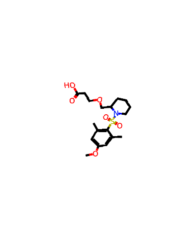 COc1cc(C)c(S(=O)(=O)N2CCCCC2COCCC(=O)O)c(C)c1